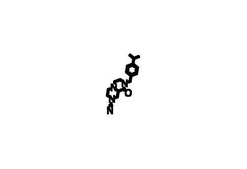 CC(C)c1ccc(CN2CCN3CCN(C#N)CC3C2=O)cc1